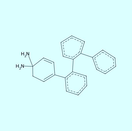 NC1(N)C=CC(c2ccccc2-c2ccccc2-c2ccccc2)=CC1